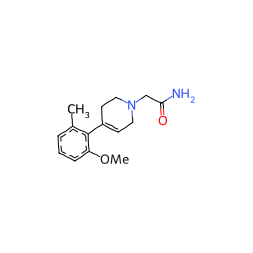 COc1cccc(C)c1C1=CCN(CC(N)=O)CC1